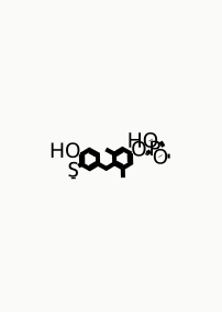 C=P(O)(COc1cc(C)c(Cc2ccc(O)c(SC)c2)c(C)c1)OC